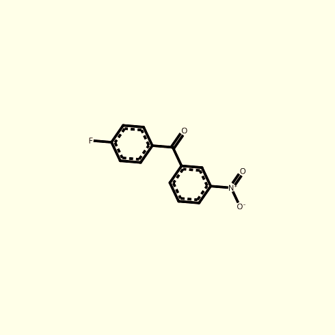 O=C(c1ccc(F)cc1)c1cccc([N+](=O)[O-])c1